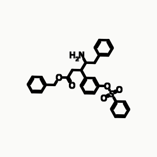 NC(Cc1ccccc1)C(CC(=O)OCc1ccccc1)c1cccc(OS(=O)(=O)c2ccccc2)c1